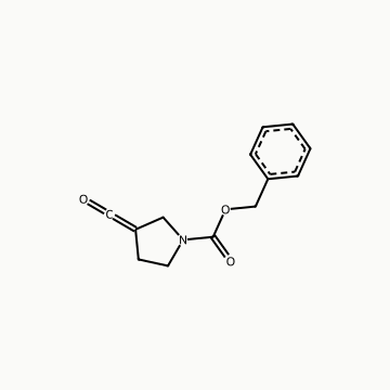 O=C=C1CCN(C(=O)OCc2ccccc2)C1